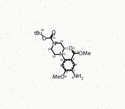 COC(=O)c1cc(N)c(OC)cc1N1CCN(C(=O)OC(C)(C)C)CC1